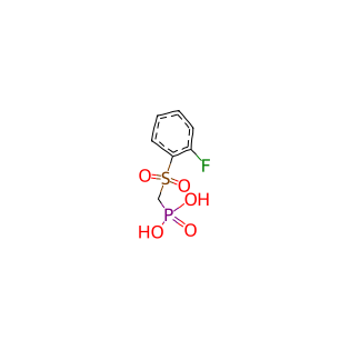 O=P(O)(O)CS(=O)(=O)c1ccccc1F